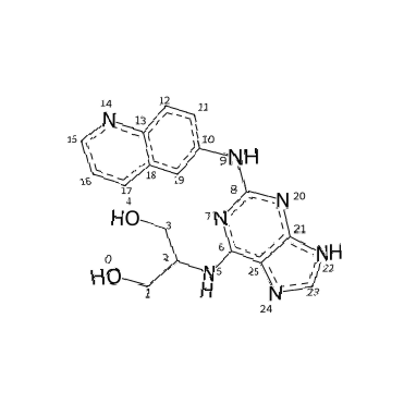 OCC(CO)Nc1nc(Nc2ccc3ncccc3c2)nc2[nH]cnc12